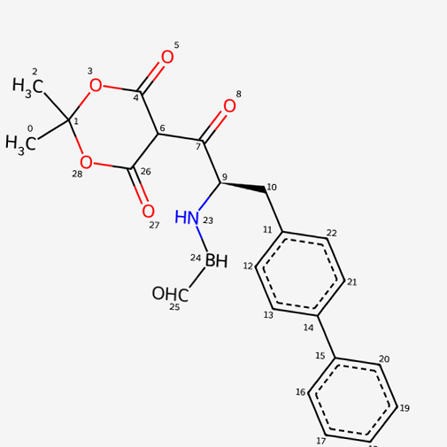 CC1(C)OC(=O)C(C(=O)[C@@H](Cc2ccc(-c3ccccc3)cc2)NBC=O)C(=O)O1